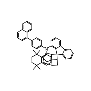 CC1(C)CCC(C)(C)c2c(N(c3ccc(-c4cccc5ccccc45)cc3)c3cccc4c3C3(c5ccccc5-4)C4CC5CC6CC3C64C5)cccc21